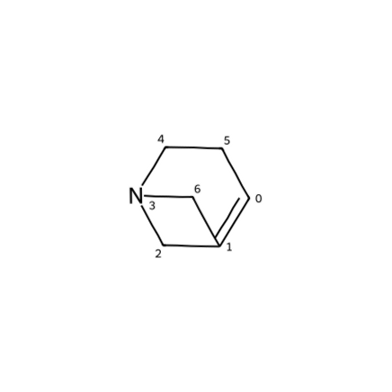 C1=C2CN(CC1)C2